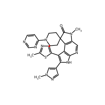 Cc1ncc(-c2c(-c3cnn(C)c3)[nH]c3ncc4c(c23)C2(CCN(c3ccncn3)CC2)C(=O)N4C)s1